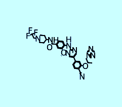 COc1cc(C(=O)NC2CCN(CC(F)(F)F)CC2)ccc1Nc1ncc(-c2ccc(C#N)c(OC(C)Cn3cncn3)c2)cn1